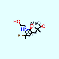 COC(=O)C(C)(C)CC(CC(C)(Br)C(=O)O)C(=O)NCCO